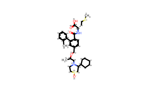 CSCC[C@H](NC(=O)c1ccc(COC(C)CN2CC[S+]([O-])CC2C2CCCCC2)cc1-c1ccccc1C)C(=O)O